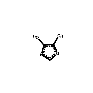 Oc1n[c]oc1O